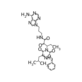 CCC(C(=O)C(=O)NCCCn1cnc2c(N)ncnc21)N(C(=O)OCc1ccccc1)C(=O)[C@@H](N)CC(C)C